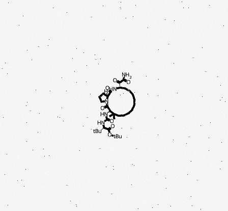 CC(C)(C)OC(=O)[C@@H](NC(=O)N[C@@H]1C(=O)N2CCC[C@H]2C(=O)N[C@H](C(=O)C(N)=O)CCCCCCCCCC1(C)C)C(C)(C)C